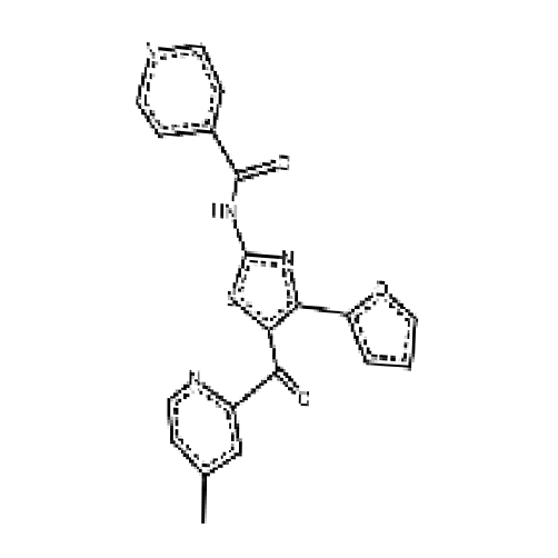 Cc1ccnc(C(=O)c2sc(NC(=O)c3ccncc3)nc2-c2ccco2)c1